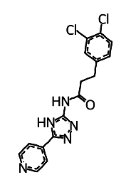 O=C(CCc1ccc(Cl)c(Cl)c1)Nc1nnc(-c2ccncc2)[nH]1